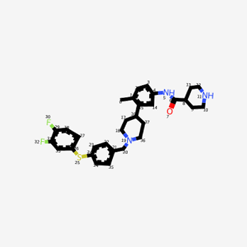 Cc1ccc(NC(=O)C2CCNCC2)cc1C1CCN(Cc2ccc(Sc3ccc(F)c(F)c3)cc2)CC1